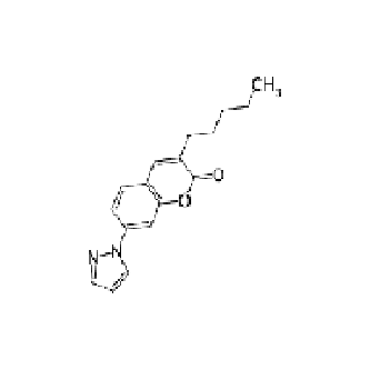 CCCCCc1cc2ccc(-n3cccn3)cc2oc1=O